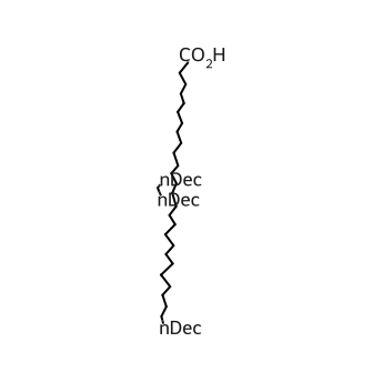 CCCCCCCCCCCCCCCCCCCCC.CCCCCCCCCCCCCCCCCCCCCCCCCCCCCCCCCCCCC(=O)O